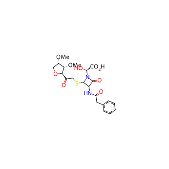 CO[C@H]1[C@@H](OC)CO[C@@H]1C(=O)CS[C@@H]1[C@H](NC(=O)Cc2ccccc2)C(=O)N1[C@@H](O)C(=O)O